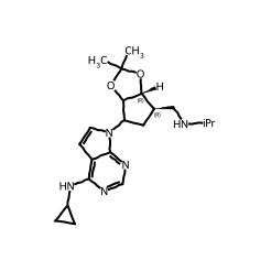 CC(C)NC[C@H]1CC(n2ccc3c(NC4CC4)ncnc32)C2OC(C)(C)O[C@@H]21